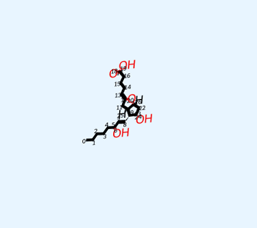 CCCCCC(O)C=C[C@@H]1[C@H]2CC(=CCCCC(=O)O)O[C@H]2C[C@H]1O